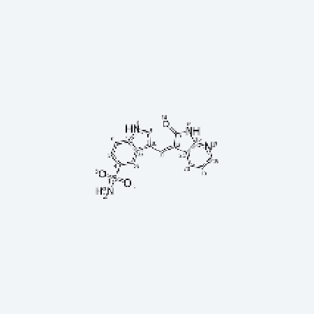 NS(=O)(=O)c1ccc2[nH]cc(C=C3C(=O)Nc4ncccc43)c2c1